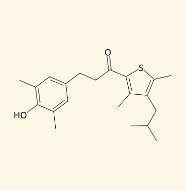 Cc1cc(CCC(=O)c2sc(C)c(CC(C)C)c2C)cc(C)c1O